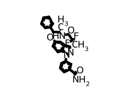 C[C@H](NC(=O)C(C)(F)F)[C@H](Oc1ccc2c(cnn2-c2cccc(C(N)=O)c2)c1)c1ccccc1